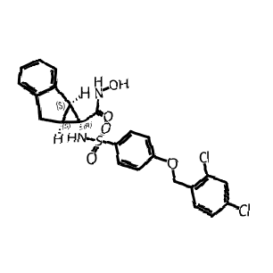 O=C(NO)[C@]1(NS(=O)(=O)c2ccc(OCc3ccc(Cl)cc3Cl)cc2)[C@@H]2c3ccccc3C[C@@H]21